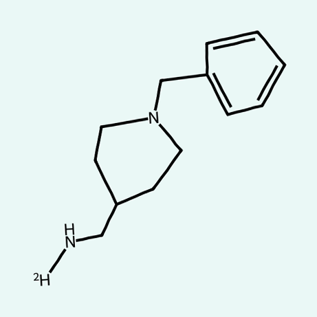 [2H]NCC1CCN(Cc2ccccc2)CC1